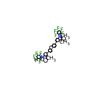 CC12CCCCC1(C)N(c1c(F)c(F)c(F)c(F)c1F)c1ccc(-c3ccc4c(c3)Cc3cc(-c5ccc6c(c5)C5(C)CCCCC5(C)N6c5c(F)c(F)c(F)c(F)c5F)ccc3-4)cc12